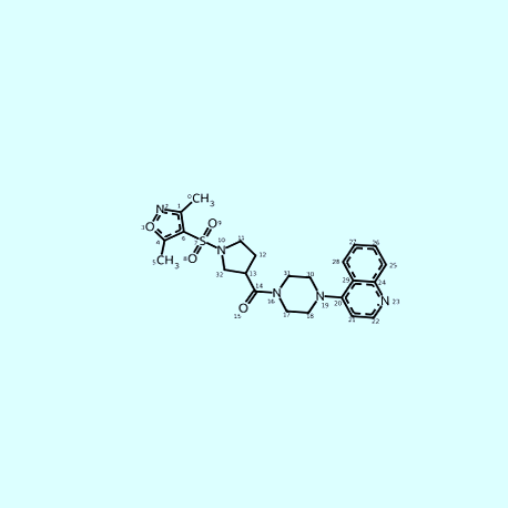 Cc1noc(C)c1S(=O)(=O)N1CCC(C(=O)N2CCN(c3ccnc4ccccc34)CC2)C1